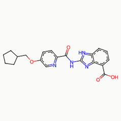 O=C(Nc1nc2c(C(=O)O)cccc2[nH]1)c1ccc(OCC2CCCC2)cn1